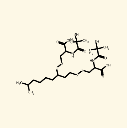 CC(C)CCCCC(CCSSCC(NC(=O)C(C)(C)S)C(=O)O)SSCC(NC(=O)C(C)(C)S)C(=O)O